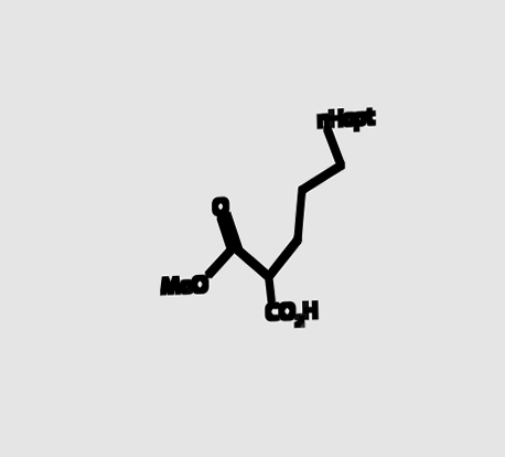 CCCCCCCCCCC(C(=O)O)C(=O)OC